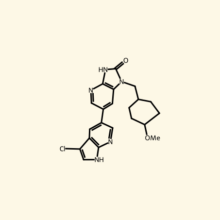 COC1CCC(Cn2c(=O)[nH]c3ncc(-c4cnc5[nH]cc(Cl)c5c4)cc32)CC1